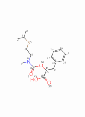 CC(C)SCCN(C)C(=O)O[C@@H](Cc1ccccc1)C(=O)O